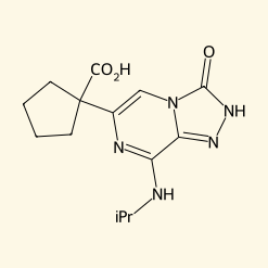 CC(C)Nc1nc(C2(C(=O)O)CCCC2)cn2c(=O)[nH]nc12